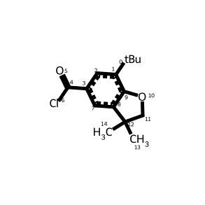 CC(C)(C)c1cc(C(=O)Cl)cc2c1OCC2(C)C